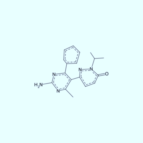 Cc1nc(N)nc(-c2ccccc2)c1-c1ccc(=O)n(C(C)C)n1